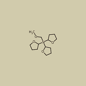 COC[Si](C1CCCO1)(C1CCCO1)C1CCCO1